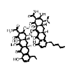 CCCCCc1ccc(O)c2c1C[C@H]1C[C@H]3[C@H](N(C)C)C(O)=C(C(N)=O)C(=O)[C@@]3(O)C(ON(C)[C@H]3C(O)=C(C(N)=O)C(=O)[C@@]4(O)C(O)=C5C(=O)c6c(O)ccc(CC)c6C[C@H]5C[C@@H]34)=C1C2=O